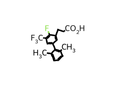 Cc1cccc(C)c1-c1cc(CCC(=O)O)c(F)c(C(F)(F)F)c1